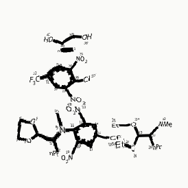 C=C.CCCC(C1OCCO1)N(C)c1c([N+](=O)[O-])cc(C(F)(F)F)cc1[N+](=O)[O-].CCCC(NC)C(OCC)OCC.O=[N+]([O-])c1cc(C(F)(F)F)cc([N+](=O)[O-])c1Cl.OCCO